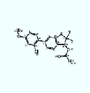 CC(C)(C)Oc1ccc(-c2ccc3c(c2)CC(C)(C)[C@H]3OC(N)=O)c(Cl)c1